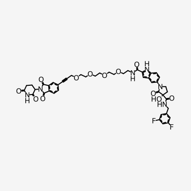 O=C1CCC(N2C(=O)c3ccc(C#CCOCCOCCOCCOCCNC(=O)c4cc5cc(N6CC[C@](O)(C(=O)NCc7cc(F)cc(F)c7)C6=O)ccc5[nH]4)cc3C2=O)C(=O)N1